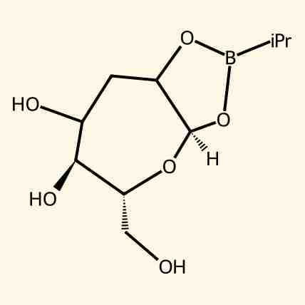 CC(C)B1OC2CC(O)[C@H](O)[C@@H](CO)O[C@@H]2O1